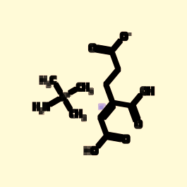 C[N+](C)(C)N.O=C(O)/C=C(/CCC(=O)[O-])C(=O)O